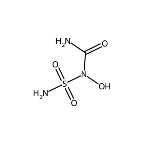 NC(=O)N(O)S(N)(=O)=O